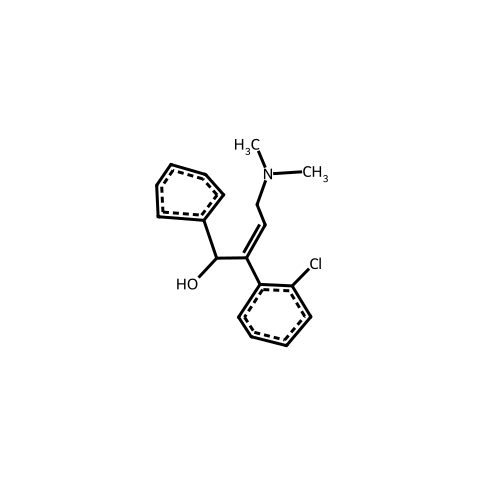 CN(C)CC=C(c1ccccc1Cl)C(O)c1ccccc1